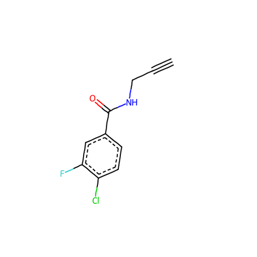 C#CCNC(=O)c1ccc(Cl)c(F)c1